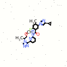 COCC(C)n1cnnc1-c1cccc(NC(=O)c2cc(-n3cnc(C4CC4)c3)c(C)cc2F)n1